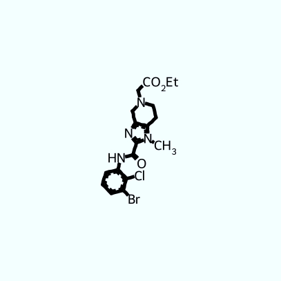 CCOC(=O)CN1CCc2c(nc(C(=O)Nc3cccc(Br)c3Cl)n2C)C1